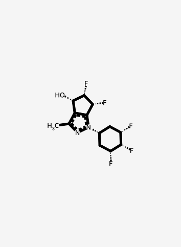 Cc1nn([C@H]2C[C@@H](F)[C@@H](F)[C@@H](F)C2)c2c1[C@H](O)[C@H](F)[C@@H]2F